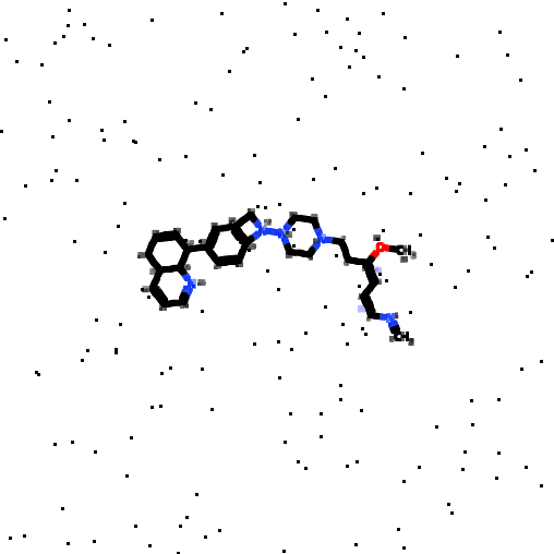 C=N/C=C\C=C(/CCN1CCN(N2Cc3cc(C4C=CCC5C=CC=NC54)ccc32)CC1)OC